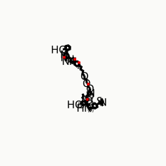 Cc1ncsc1-c1ccc([C@H](C)NC(=O)[C@@H]2C[C@@H](O)CN2C(=O)[C@@H](c2cc(OCCOCCOCCCCC3CCC4(CC3)CCN(c3cc(-c5ccccc5O)nnc3N)CC4)no2)C(C)C)cc1